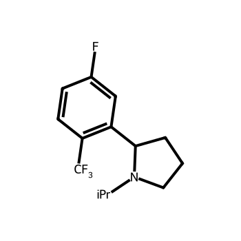 CC(C)N1CCCC1c1cc(F)ccc1C(F)(F)F